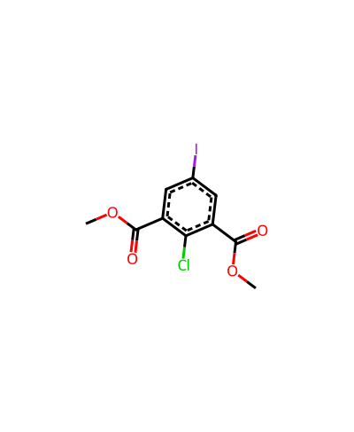 COC(=O)c1cc(I)cc(C(=O)OC)c1Cl